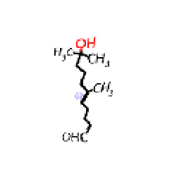 C/C(=C\CCCC=O)CCCC(C)(C)O